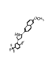 COC1=CC2C=CC([C@H]3C[C@@H](c4cc(C(F)(F)F)ccc4F)CN3)=CC2C=C1